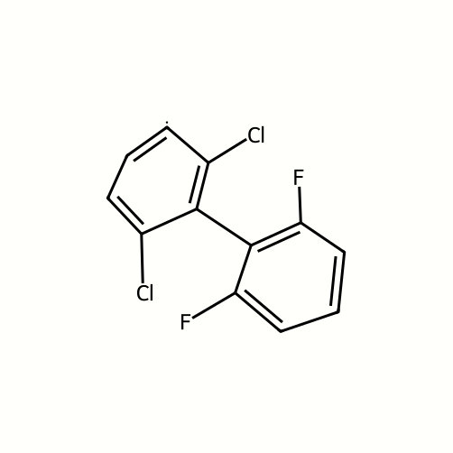 Fc1cccc(F)c1-c1c(Cl)[c]ccc1Cl